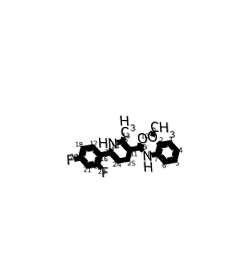 COc1ccccc1NC(=O)C1=C(C)NC(c2ccc(F)cc2F)=CC1